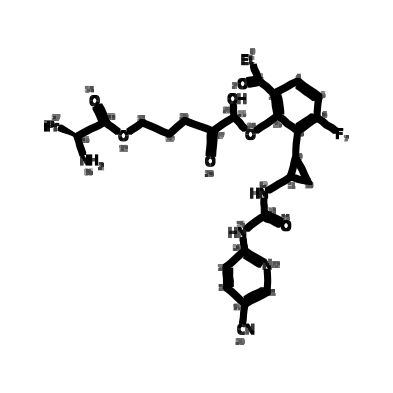 CCC(=O)c1ccc(F)c(C2CC2NC(=O)Nc2ccc(C#N)cn2)c1OC(O)C(=O)CCCOC(=O)[C@@H](N)C(C)C